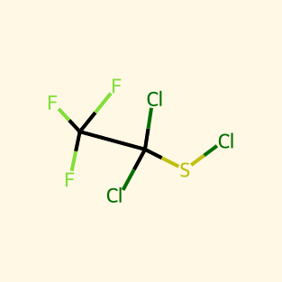 FC(F)(F)C(Cl)(Cl)SCl